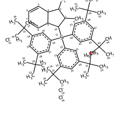 CC1[CH]([Ti+3])C2C=CC=CC2C1[Si](c1cc(C(C)(C)C)cc(C(C)(C)C)c1)(c1cc(C(C)(C)C)cc(C(C)(C)C)c1)c1cc(C(C)(C)C)cc(C(C)(C)C)c1.[Cl-].[Cl-].[Cl-]